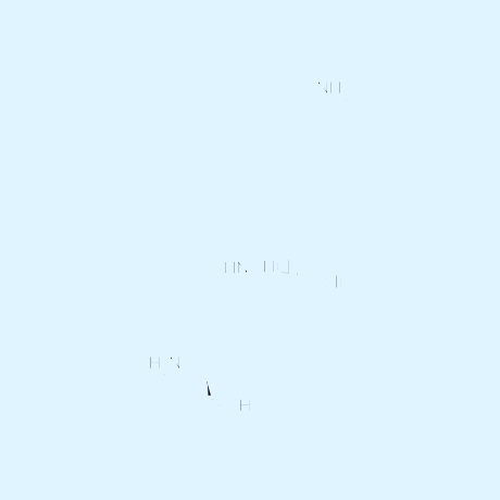 Cl.Cl.Cl.NCCCCCCNCCC[C@H](N)C(=O)O